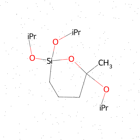 CC(C)OC1(C)CCC[Si](OC(C)C)(OC(C)C)O1